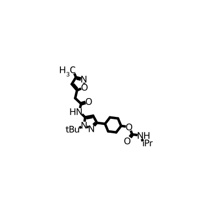 Cc1cc(CC(=O)Nc2cc(C3CCC(OC(=O)NC(C)C)CC3)nn2C(C)(C)C)on1